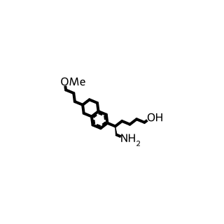 COCCCC1CCc2cc([C@H](CN)CCCCO)ccc2C1